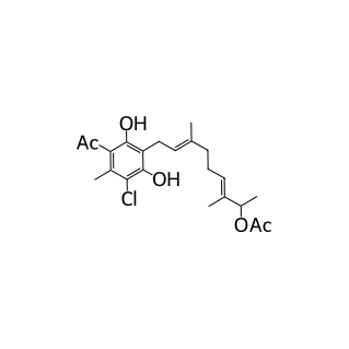 CC(=O)OC(C)/C(C)=C/CC/C(C)=C/Cc1c(O)c(Cl)c(C)c(C(C)=O)c1O